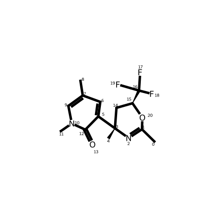 CC1=N[C@](C)(c2cc(C)cn(C)c2=O)C[C@@H](C(F)(F)F)O1